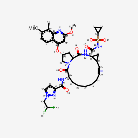 COc1ccc2c(O[C@@H]3CC4C(=O)N[C@]5(C(=O)NS(=O)(=O)C6CC6)CC5/C=C\CCCCC[C@H](NC(=O)c5ccn(CC(F)F)n5)C(=O)N4C3)cc(OC(C)C)nc2c1C